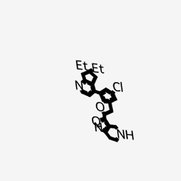 CCC1(CC)Cc2nccc(-c3cc(Cl)cc4c3OC(c3onc5c3CNCC5)C4)c2C1